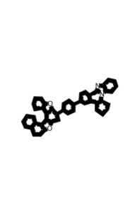 c1ccc2c(c1)ccc1oc3cc(-c4ccc(-c5ccc6c(c5)c5ccccc5n5c7ccccc7nc65)cc4)c4oc5ccccc5c4c3c12